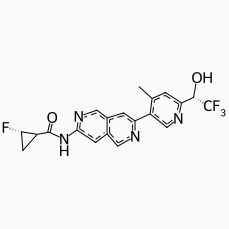 Cc1cc([C@H](O)C(F)(F)F)ncc1-c1cc2cnc(NC(=O)C3C[C@@H]3F)cc2cn1